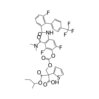 CCC(C)OC(=O)C(COC(=O)Oc1c(F)cc(NC(=O)c2cccc(F)c2-c2ccc(C(F)(F)F)cc2)c(C(=O)N(C)C)c1F)(C(=O)O)c1cccs1